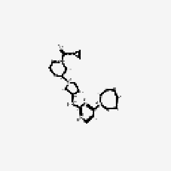 O=C(C1CC1)N1CCCC(N2CCC(Nc3nccc(N4CCCCCC4)n3)C2)C1